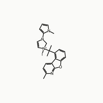 Cc1ccc2c(n1)oc1cccc(C(C)(C)[N+]3(I)C=CN(c4cccn4C)C3)c12